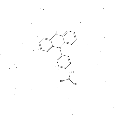 OB(O)O.c1ccc(N2c3ccccc3Nc3ccccc32)cc1